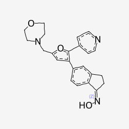 O/N=C1/CCc2cc(-c3cc(CN4CCOCC4)oc3-c3ccncc3)ccc21